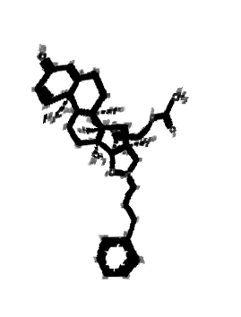 CC(=O)OCC(=O)[C@@]12ON(CCCc3ccccc3)C[C@@H]1C[C@H]1[C@@H]3CCC4=CC(=O)C=C[C@]4(C)C3CC[C@@]12C